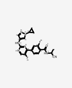 CC(C#N)NC(=O)c1ccc(-c2nc(Nc3cnn(C4CC4)c3)ncc2F)cc1F